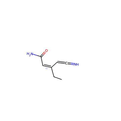 CC/C(C=C=N)=C/C(N)=O